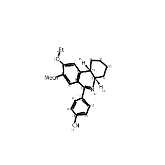 CCOc1cc2c(cc1OC)C(c1ccc(C#N)cc1)=N[C@H]1CCCC[C@@H]21